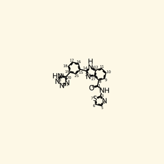 O=C(Nc1nccs1)c1cccc2[nH]c(-c3cccc(-c4nnn[nH]4)c3)nc12